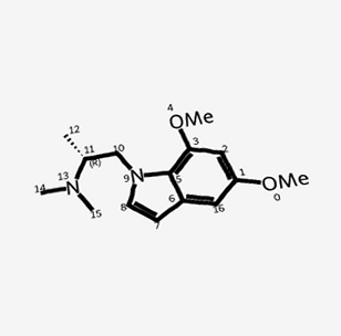 COc1cc(OC)c2c(ccn2C[C@@H](C)N(C)C)c1